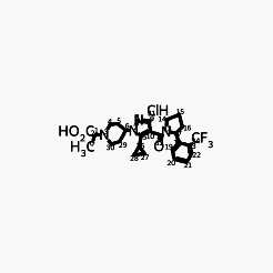 CC(C(=O)O)N1CCC(n2ncc(C(=O)N3CCCC3c3ccccc3C(F)(F)F)c2C2CC2)CC1.Cl